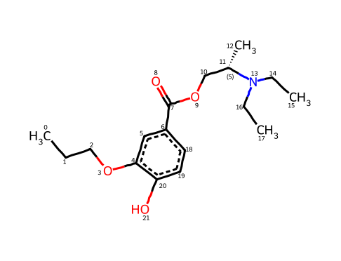 CCCOc1cc(C(=O)OC[C@H](C)N(CC)CC)ccc1O